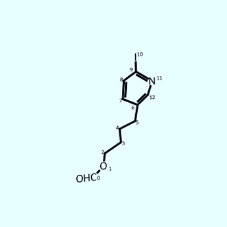 O=COCCCCc1ccc(I)nc1